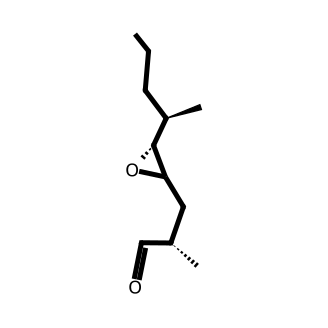 CCC[C@@H](C)[C@H]1OC1C[C@H](C)C=O